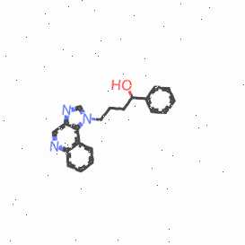 OC(CCCn1cnc2cnc3ccccc3c21)c1ccccc1